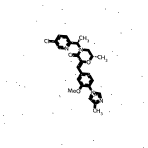 COc1cc(C=C2O[C@@H](C)CN([C@H](C)c3ccc(Cl)cn3)C2=O)ccc1-n1cnc(C)c1